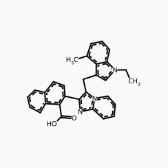 CCn1cc(Cc2c(-c3ccc4ccccc4c3C(=O)O)nc3ccccn23)c2c(C)cccc21